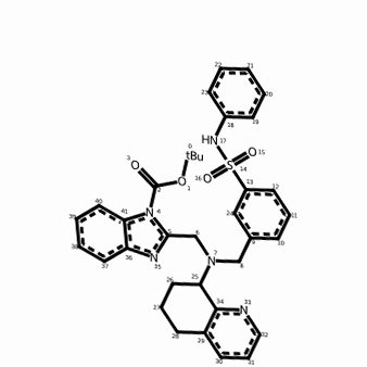 CC(C)(C)OC(=O)n1c(CN(Cc2cccc(S(=O)(=O)Nc3ccccc3)c2)C2CCCc3cccnc32)nc2ccccc21